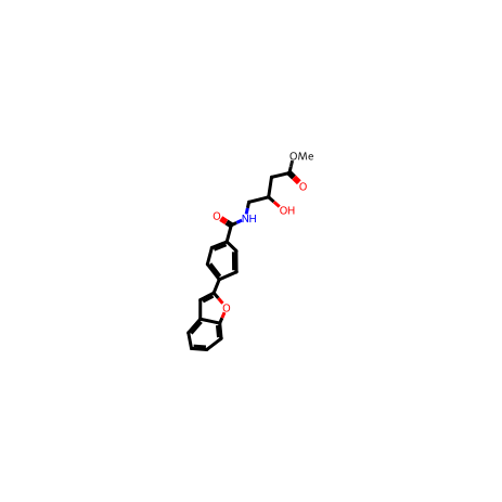 COC(=O)CC(O)CNC(=O)c1ccc(-c2cc3ccccc3o2)cc1